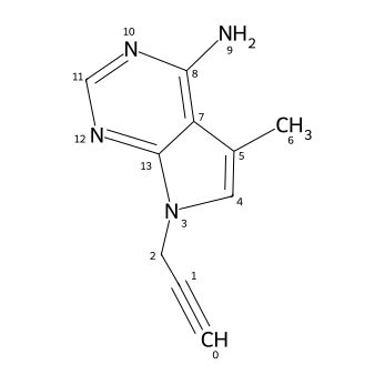 C#CCn1cc(C)c2c(N)ncnc21